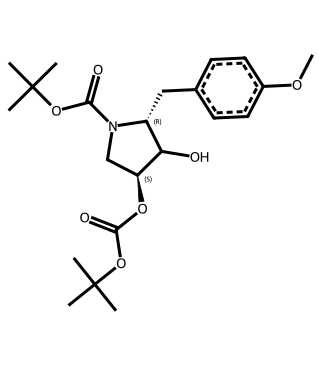 COc1ccc(C[C@@H]2C(O)[C@@H](OC(=O)OC(C)(C)C)CN2C(=O)OC(C)(C)C)cc1